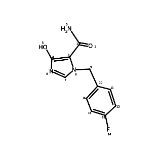 NC(=O)c1c(O)ncn1Cc1ccc(F)cc1